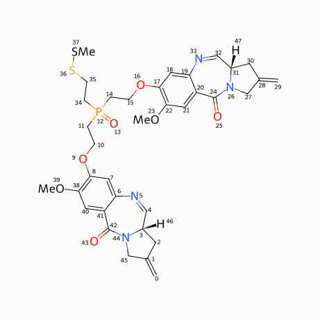 C=C1C[C@H]2C=Nc3cc(OCCP(=O)(CCOc4cc5c(cc4OC)C(=O)N4CC(=C)C[C@H]4C=N5)CCSSC)c(OC)cc3C(=O)N2C1